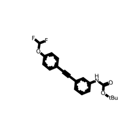 CC(C)(C)OC(=O)Nc1cccc(C#Cc2ccc(OC(F)F)cc2)c1